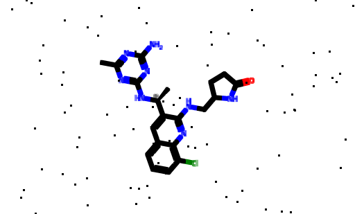 Cc1nc(N)nc(N[C@@H](C)c2cc3cccc(Cl)c3nc2NCC2CCC(=O)N2)n1